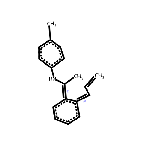 C=C/C=c1/cccc/c1=C(/C)Nc1ccc(C)cc1